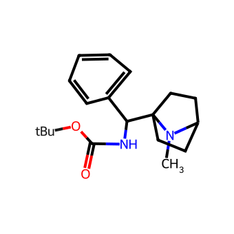 CN1C2CCC1(C(NC(=O)OC(C)(C)C)c1ccccc1)CC2